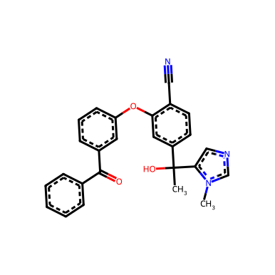 Cn1cncc1C(C)(O)c1ccc(C#N)c(Oc2cccc(C(=O)c3ccccc3)c2)c1